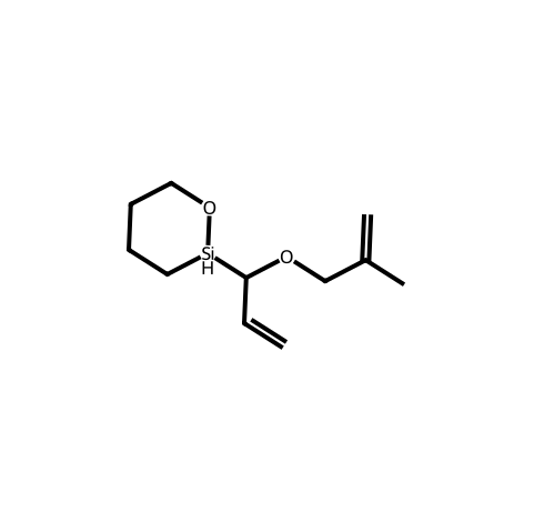 C=CC(OCC(=C)C)[SiH]1CCCCO1